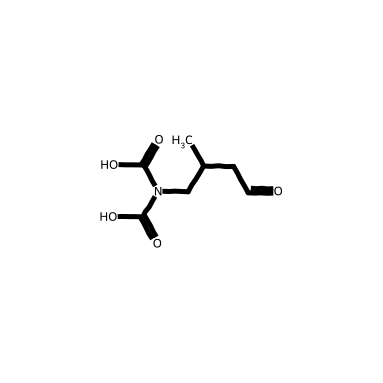 CC(CC=O)CN(C(=O)O)C(=O)O